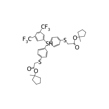 CC1(OC(=O)CSc2ccc([SH](c3ccc(SCC(=O)OC4(C)CCCC4)cc3)c3cc(C(F)(F)F)cc(C(F)(F)F)c3)cc2)CCCC1